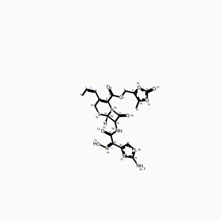 C/C=C\C1=C(C(=O)OCc2oc(=O)oc2C)N2C(=O)C(NC(=O)/C(=N\O)c3csc(N)n3)[C@@H]2SC1